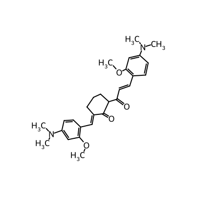 COc1cc(N(C)C)ccc1C=CC(=O)C1CCCC(=Cc2ccc(N(C)C)cc2OC)C1=O